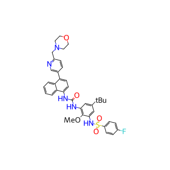 COc1c(NC(=O)Nc2ccc(-c3ccc(CN4CCOCC4)nc3)c3ccccc23)cc(C(C)(C)C)cc1NS(=O)(=O)c1ccc(F)cc1